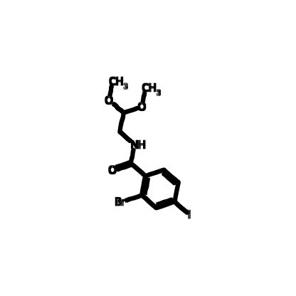 COC(CNC(=O)c1ccc(I)cc1Br)OC